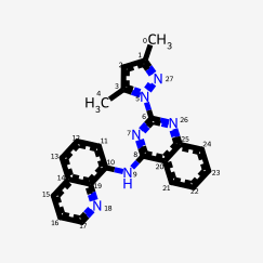 Cc1cc(C)n(-c2nc(Nc3cccc4cccnc34)c3ccccc3n2)n1